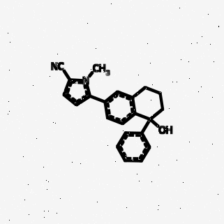 Cn1c(C#N)ccc1-c1ccc2c(c1)CCCC2(O)c1ccccc1